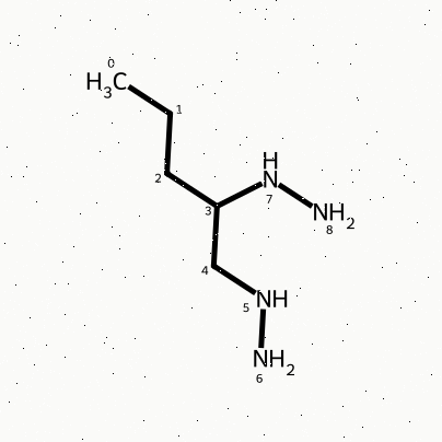 CCCC(CNN)NN